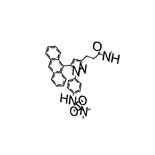 CNC(=O)CCc1cc(-c2c3ccccc3cc3ccccc23)n(-c2ccc(NS(=O)(=O)N(C)C)cc2)n1